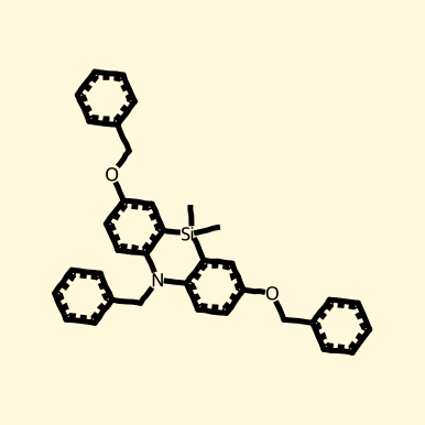 C[Si]1(C)c2cc(OCc3ccccc3)ccc2N(Cc2ccccc2)c2ccc(OCc3ccccc3)cc21